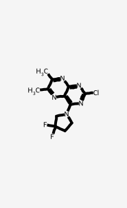 Cc1nc2nc(Cl)nc(N3CCC(F)(F)C3)c2nc1C